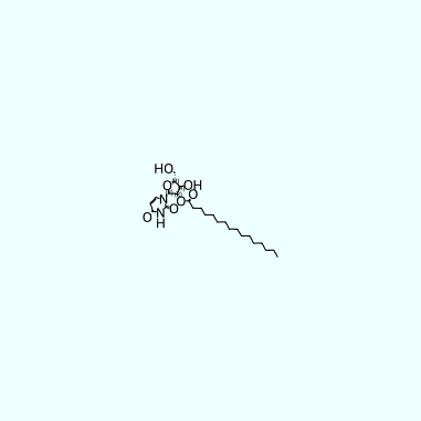 CCCCCCCCCCCCCCCC(=O)O[C@@H]1[C@H](O)[C@@H](CO)O[C@H]1n1ccc(=O)[nH]c1=O